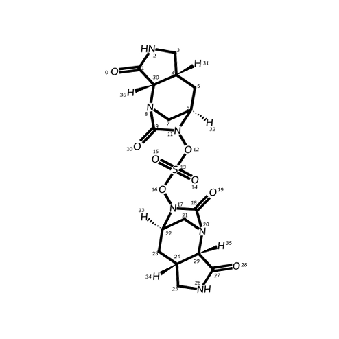 O=C1NC[C@@H]2C[C@@H]3CN(C(=O)N3OS(=O)(=O)ON3C(=O)N4C[C@H]3C[C@H]3CNC(=O)[C@H]34)[C@H]12